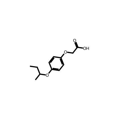 CCC(C)Oc1ccc(OCC(=O)O)cc1